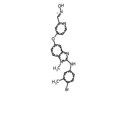 Cc1cc(Nc2nc3cc(Oc4ccnc(/C=N/O)c4)ccc3n2C)ccc1Br